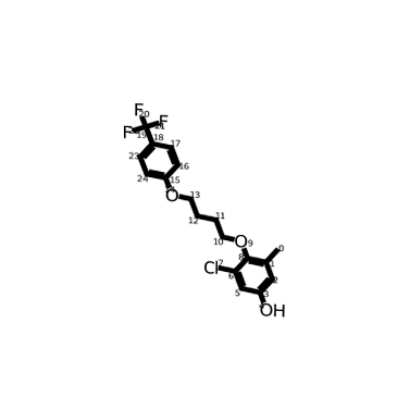 Cc1cc(O)cc(Cl)c1OCCCCOc1ccc(C(F)(F)F)cc1